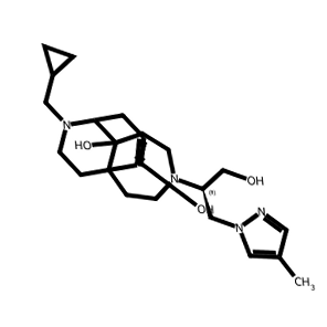 Cc1cnn(C[C@H](CO)N2CCC34CCN(CC5CC5)C(Cc5ccc(O)cc53)C4(O)CC2)c1